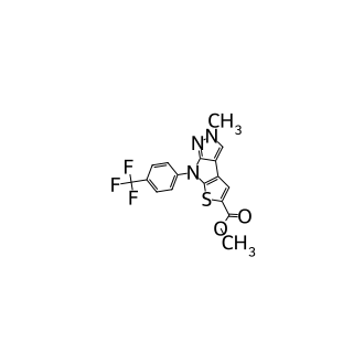 COC(=O)c1cc2c3cn(C)nc3n(-c3ccc(C(F)(F)F)cc3)c2s1